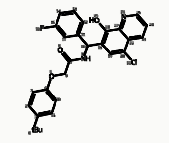 CC(C)(C)c1ccc(OCC(=O)NC(c2cccc(F)c2)c2cc(Cl)c3cccnc3c2O)cc1